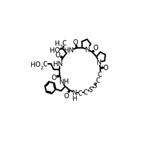 CC(O)C1NC(=O)C2CCCN2C(=O)C2CCCN2C(=O)CCSSCCNC(=O)C(Cc2ccccc2)NC(=O)C(CCC(=O)O)NC1=O